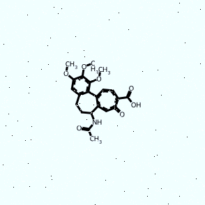 COc1cc2c(c(OC)c1OC)-c1ccc(C(=O)O)c(=O)cc1C(NC(C)=O)CC2